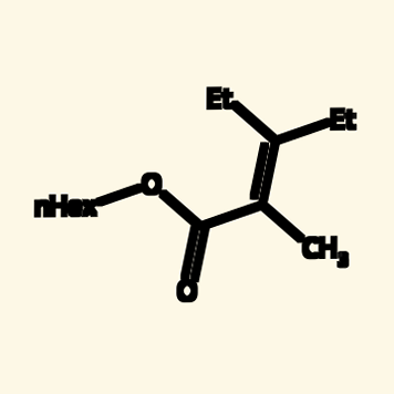 CCCCCCOC(=O)C(C)=C(CC)CC